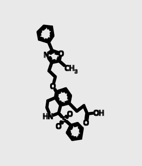 Cc1oc(-c2ccccc2)nc1CCOc1ccc(CCC(=O)O)c2c1CCNC2S(=O)(=O)c1ccccc1